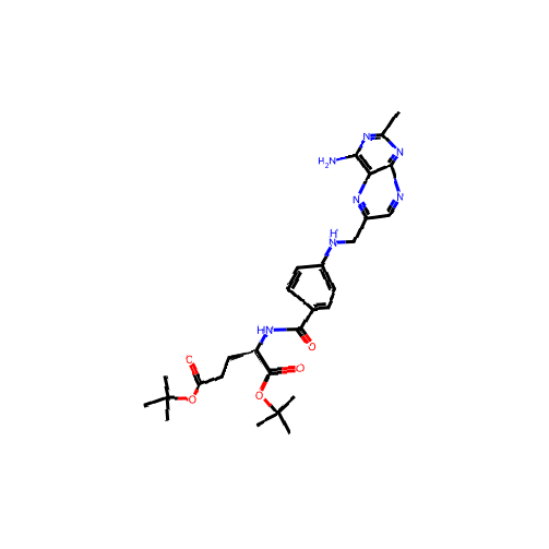 Cc1nc(N)c2nc(CNc3ccc(C(=O)N[C@H](CCC(=O)OC(C)(C)C)C(=O)OC(C)(C)C)cc3)cnc2n1